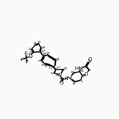 O=C1COC2CCN(C(=O)N3CC(c4ccc(-c5ccccc5OC(F)(F)F)cc4)C3)CC2N1